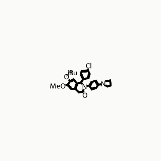 CC[C@@H](C)Oc1cc2c(cc1OC)CC(=O)N(c1ccc(N3CCCC3)cc1)C2c1ccc(Cl)cc1